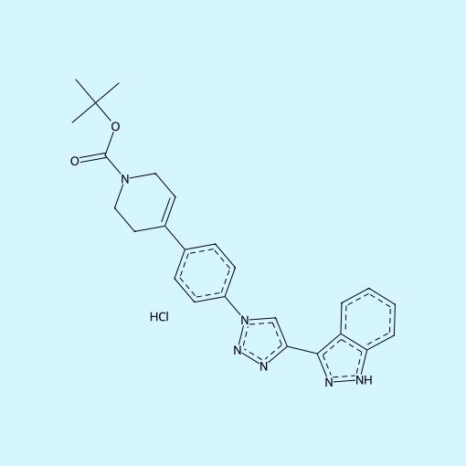 CC(C)(C)OC(=O)N1CC=C(c2ccc(-n3cc(-c4n[nH]c5ccccc45)nn3)cc2)CC1.Cl